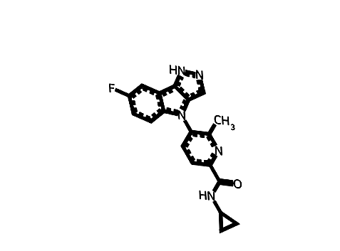 Cc1nc(C(=O)NC2CC2)ccc1-n1c2ccc(F)cc2c2[nH]ncc21